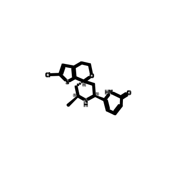 C[C@H]1C[C@@]2(C[C@@H](c3cccc(=O)[nH]3)N1)OCCc1cc(Cl)sc12